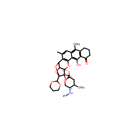 COc1c2c(c(O)c3c4c(c(C)cc13)C1OC3(C5OCCCO5)OC1[C@@](O[C@H]1CC(OC)[C@@H](NC(C)C)CO1)(O4)[C@@]31CO1)C(=O)CCC2